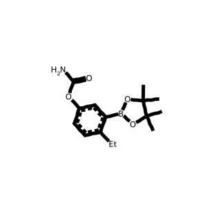 CCc1ccc(OC(N)=O)cc1B1OC(C)(C)C(C)(C)O1